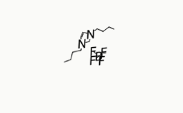 CCCCN1C=CN(CCCC)C1.F[B-](F)(F)F